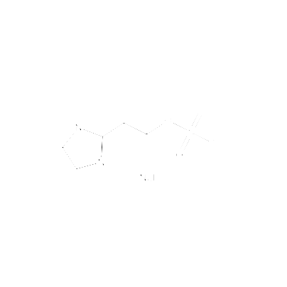 O=S(=O)(O)OCCC1NCCN1.[NaH]